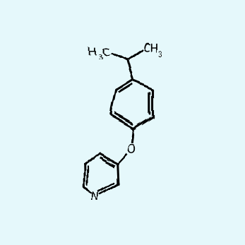 CC(C)c1ccc(Oc2cccnc2)cc1